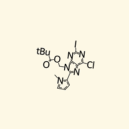 Cn1cccc1-c1nc2c(Cl)nc(I)nc2n1COC(=O)C(C)(C)C